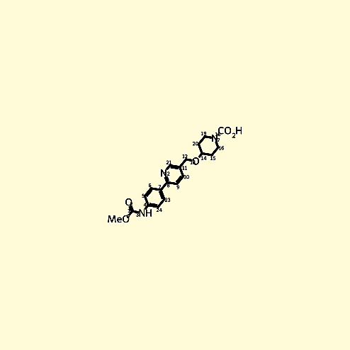 COC(=O)Nc1ccc(-c2ccc(COC3CCN(C(=O)O)CC3)cn2)cc1